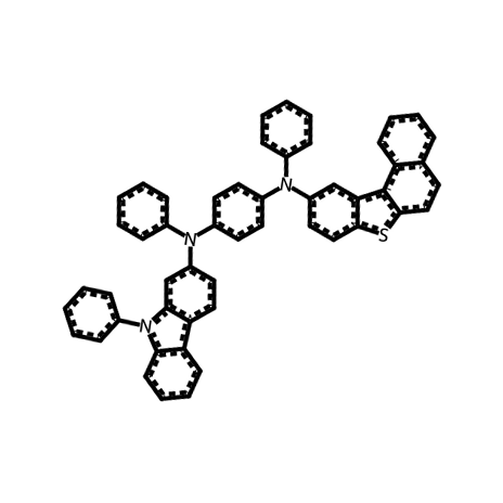 c1ccc(N(c2ccc(N(c3ccccc3)c3ccc4c5ccccc5n(-c5ccccc5)c4c3)cc2)c2ccc3sc4ccc5ccccc5c4c3c2)cc1